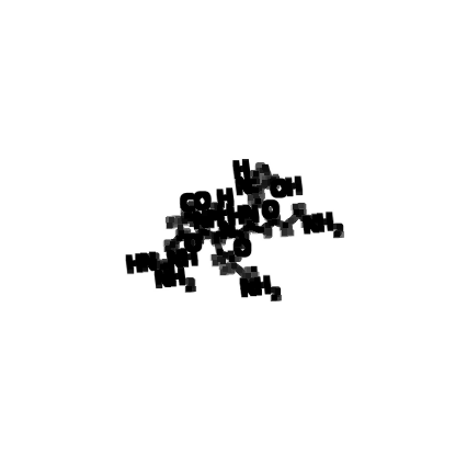 C[C@@H](O)[C@H](N)C(=O)N[C@@H](CCCCN)C(=O)N[C@@H](CCCCN)C(=O)N[C@@H](CCCNC(=N)N)C(=O)O